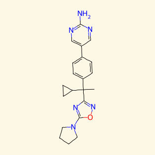 CC(c1ccc(-c2cnc(N)nc2)cc1)(c1noc(N2CCCC2)n1)C1CC1